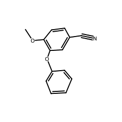 COc1ccc(C#N)cc1Oc1ccccc1